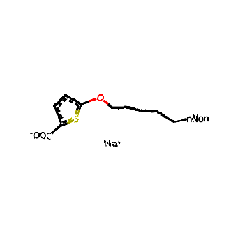 CCCCCCCCCCCCCCOc1ccc(C(=O)[O-])s1.[Na+]